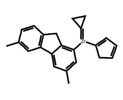 Cc1ccc2c(c1)-c1cc(C)c[c]([Zr]([C]3=CC=CC3)=[C]3CC3)c1C2